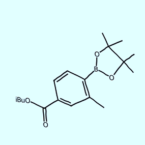 Cc1cc(C(=O)OCC(C)C)ccc1B1OC(C)(C)C(C)(C)O1